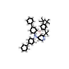 CC1(C)CC(C)(C)c2cc3c(cc21)B1c2cc(-c4ccccc4)ccc2N(c2ccc(-c4ccccc4)cc2)c2ccnc(c21)C3(C)C